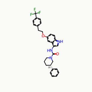 O=C(Nc1c[nH]c2ccc(OCCc3ccc(C(F)(F)F)cc3)cc12)N1CCC[C@@H](c2ccccc2)C1